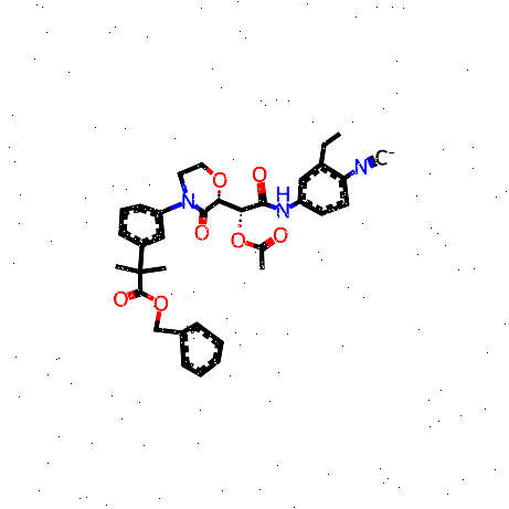 [C-]#[N+]c1ccc(NC(=O)[C@H](OC(C)=O)[C@H]2OCCN(c3cccc(C(C)(C)C(=O)OCc4ccccc4)c3)C2=O)cc1CC